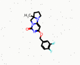 CC12CCCN1c1cc(OCc3ccc(F)c(F)c3)nc(=O)n1C2